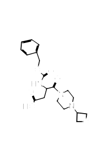 O=C(O)CC(NC(=O)OCc1ccccc1)C(=O)N1CCN(C2COC2)CC1